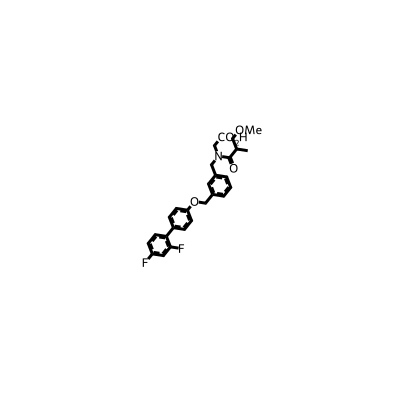 COCC(C)C(=O)N(CC(=O)O)Cc1cccc(COc2ccc(-c3ccc(F)cc3F)cc2)c1